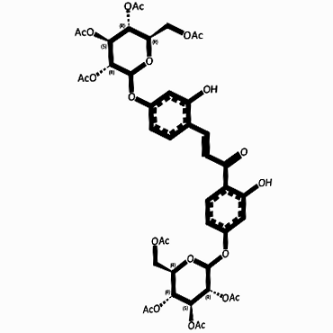 CC(=O)OC[C@H]1OC(Oc2ccc(C=CC(=O)c3ccc(OC4O[C@H](COC(C)=O)[C@@H](OC(C)=O)[C@H](OC(C)=O)[C@H]4OC(C)=O)cc3O)c(O)c2)[C@H](OC(C)=O)[C@@H](OC(C)=O)[C@@H]1OC(C)=O